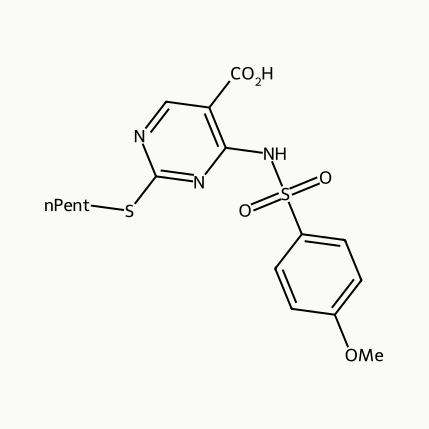 CCCCCSc1ncc(C(=O)O)c(NS(=O)(=O)c2ccc(OC)cc2)n1